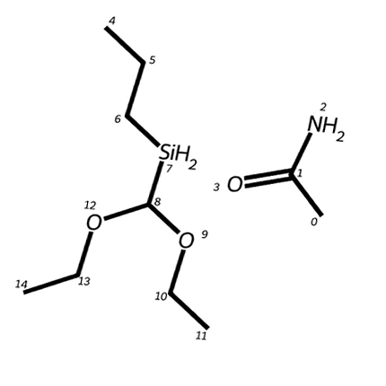 CC(N)=O.CCC[SiH2]C(OCC)OCC